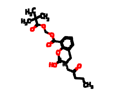 CCCC(=O)C[C@H]1Cc2cccc(C(=O)OCOC(=O)C(C)(C)C)c2OB1O